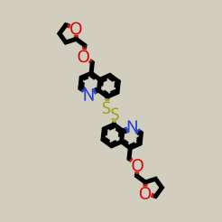 c1cc(SSc2cccc3c(COCC4CCCO4)ccnc23)c2nccc(COCC3CCCO3)c2c1